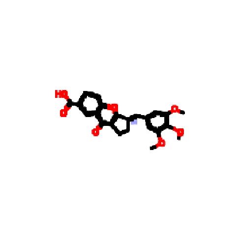 COc1cc(/C=C2\CCc3c2oc2ccc(C(=O)O)cc2c3=O)cc(OC)c1OC